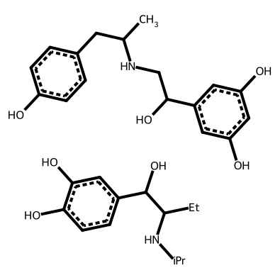 CC(Cc1ccc(O)cc1)NCC(O)c1cc(O)cc(O)c1.CCC(NC(C)C)C(O)c1ccc(O)c(O)c1